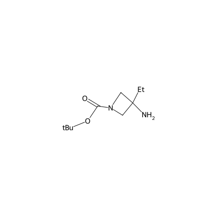 CCC1(N)CN(C(=O)OC(C)(C)C)C1